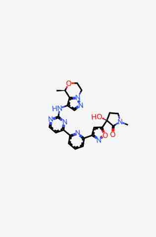 C[C@H]1OCCn2ncc(Nc3nccc(-c4cccc(-c5cc([C@]6(O)CCN(C)C6=O)on5)n4)n3)c21